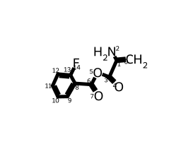 C=C(N)C(=O)OC(=O)c1ccccc1F